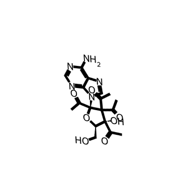 CC(=O)C1(C(C)=O)[C@@](O)(C(C)=O)[C@@H](CO)O[C@@]1(C(C)=O)n1cnc2c(N)ncnc21